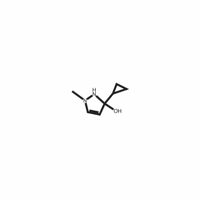 CN1C=CC(O)(C2CC2)N1